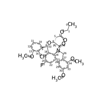 CCOC(=O)C[C@H]1O[C@H](c2cccc(OC)c2Cl)c2cc(F)ccc2N(Cc2ccc(OC)cc2OC)C1=O